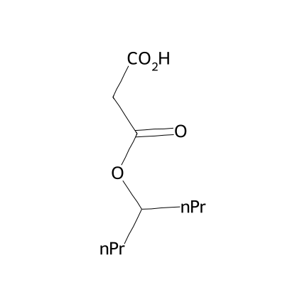 CCCC(CCC)OC(=O)CC(=O)O